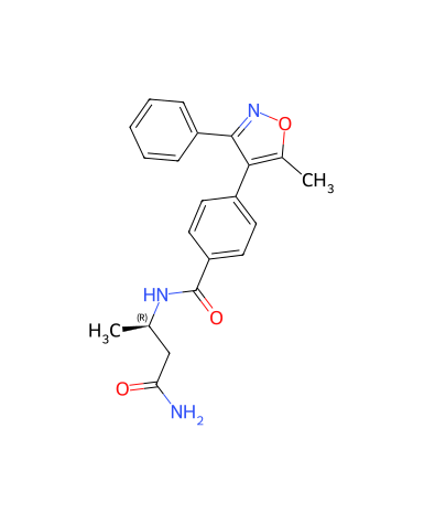 Cc1onc(-c2ccccc2)c1-c1ccc(C(=O)N[C@H](C)CC(N)=O)cc1